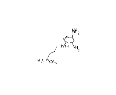 CN(C)CCCNc1ccc(N)cc1N